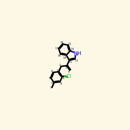 C=C(Cc1ccc(C)cc1Cl)c1c[nH]c2ccccc12